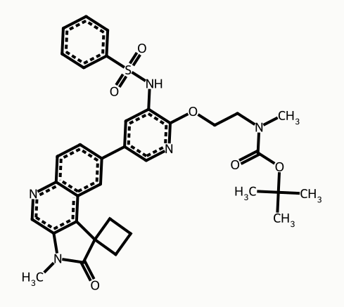 CN(CCOc1ncc(-c2ccc3ncc4c(c3c2)C2(CCC2)C(=O)N4C)cc1NS(=O)(=O)c1ccccc1)C(=O)OC(C)(C)C